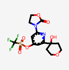 O=C1OCCN1c1cc(OS(=O)(=O)C(F)(F)F)cc(C2(O)CCOCC2)n1